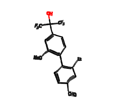 CCc1cc(C=O)ccc1-c1ccc(C(O)(C(F)(F)F)C(F)(F)F)cc1OC